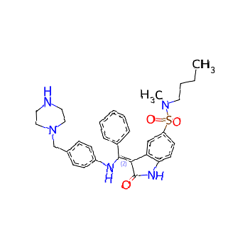 CCCCN(C)S(=O)(=O)c1ccc2c(c1)/C(=C(/Nc1ccc(CN3CCNCC3)cc1)c1ccccc1)C(=O)N2